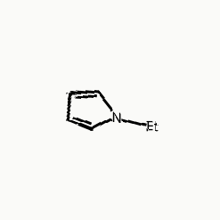 CCn1c[c]cc1